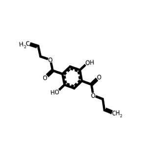 C=CCOC(=O)c1cc(O)c(C(=O)OCC=C)cc1O